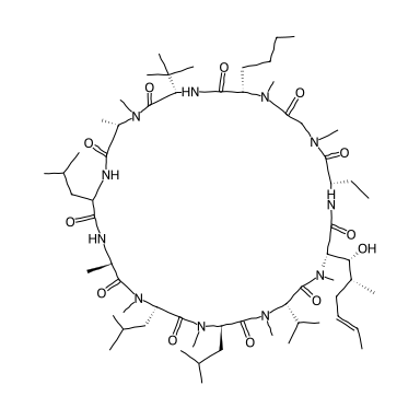 C/C=C/C[C@@H](C)[C@@H](O)[C@H]1C(=O)N[C@@H](CC)C(=O)N(C)CC(=O)N(C)[C@@H](CCCC)C(=O)N[C@@H](C(C)(C)C)C(=O)N(C)[C@@H](C)C(=O)NC(CC(C)C)C(=O)N[C@H](C)C(=O)N(C)[C@@H](CC(C)C)C(=O)N(C)[C@H](CC(C)C)C(=O)N(C)[C@@H](C(C)C)C(=O)N1C